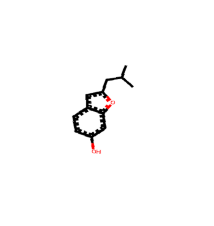 CC(C)Cc1cc2ccc(O)cc2o1